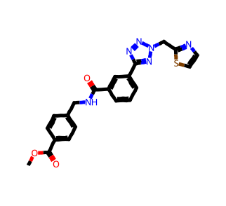 COC(=O)c1ccc(CNC(=O)c2cccc(-c3nnn(Cc4nccs4)n3)c2)cc1